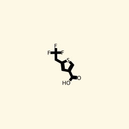 O=C(O)c1csc(CC(F)(F)F)c1